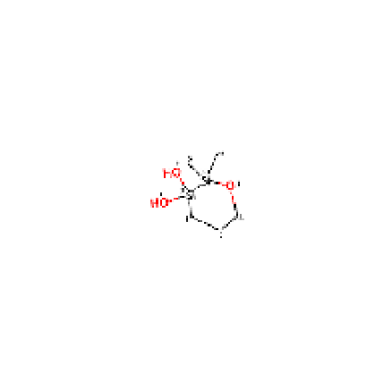 C[Si]1(C)OCCC[Si]1(O)O